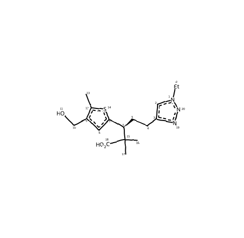 CCn1cc(CC[C@H](c2cc(CO)c(C)s2)C(C)(C)C(=O)O)nn1